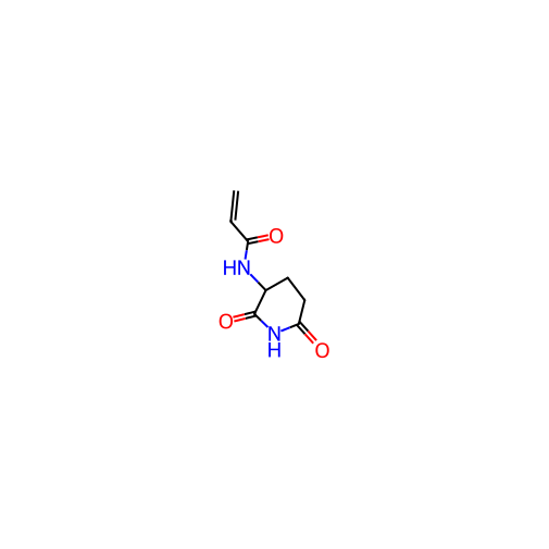 C=CC(=O)NC1CCC(=O)NC1=O